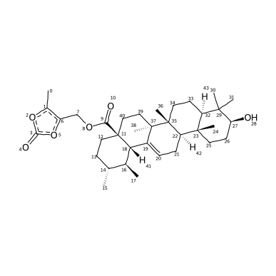 Cc1oc(=O)oc1COC(=O)[C@]12CC[C@@H](C)[C@H](C)[C@H]1C1=CC[C@@H]3[C@@]4(C)CC[C@H](O)C(C)(C)[C@@H]4CC[C@@]3(C)[C@]1(C)CC2